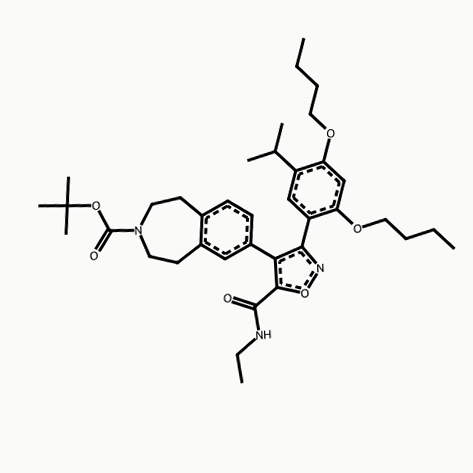 CCCCOc1cc(OCCCC)c(C(C)C)cc1-c1noc(C(=O)NCC)c1-c1ccc2c(c1)CCN(C(=O)OC(C)(C)C)CC2